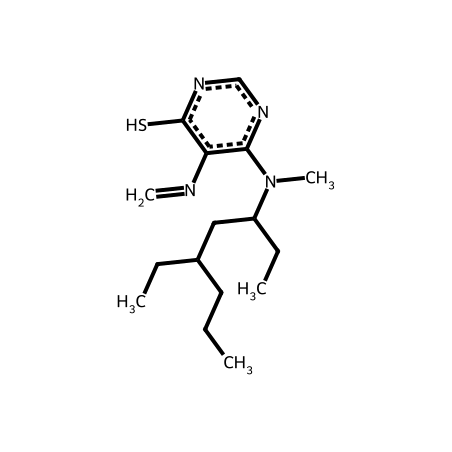 C=Nc1c(S)ncnc1N(C)C(CC)CC(CC)CCC